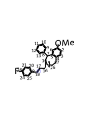 COc1ccc2c(c1)C(c1ccccc1)CN(C/C=C/c1ccc(F)cc1)CC2